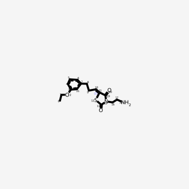 CCOc1cccc(CC/C=C2\SC(=O)N(CCN)C2=O)c1